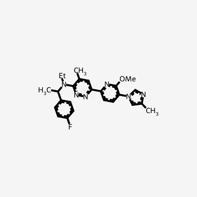 CCN(c1nnc(-c2ccc(-n3cnc(C)c3)c(OC)n2)cc1C)C(C)c1ccc(F)cc1